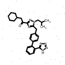 CC(C)Cn1nc(C(=O)CC2CCCCC2)nc1Cc1ccc(-c2ccccc2-c2nnn[nH]2)cc1